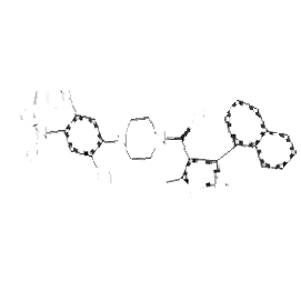 Cc1onc(-c2cccc3ccccc23)c1C(=O)N1CCN(c2cc(N)c([N+](=O)[O-])cc2Cl)CC1